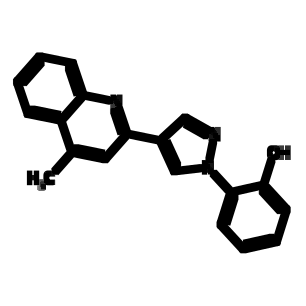 Cc1cc(-c2cnn(-c3ccccc3O)c2)nc2ccccc12